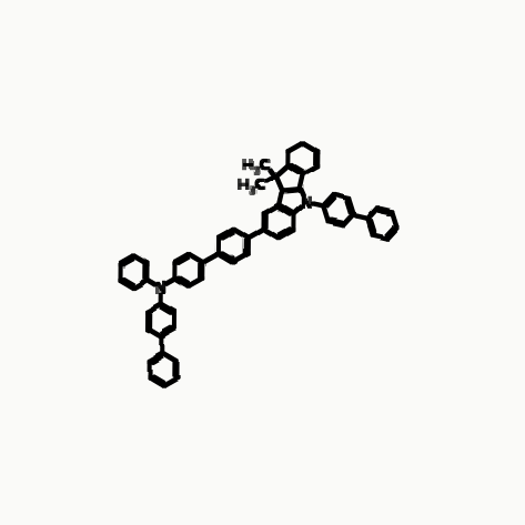 CC1(C)C2=C(C=CCC2)c2c1c1cc(-c3ccc(-c4ccc(N(c5ccccc5)c5ccc(-c6ccccc6)cc5)cc4)cc3)ccc1n2-c1ccc(-c2ccccc2)cc1